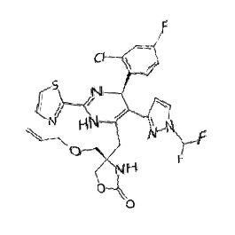 C=CCOC[C@]1(CC2=C(c3ccn(C(F)F)n3)[C@H](c3ccc(F)cc3Cl)N=C(c3nccs3)N2)COC(=O)N1